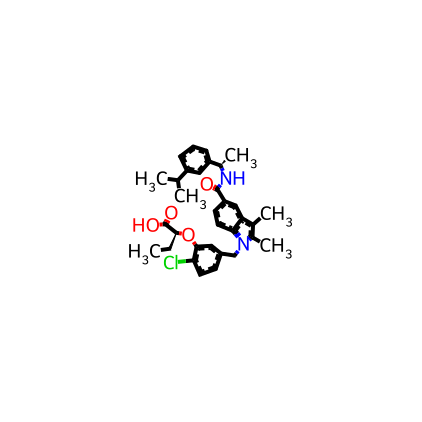 CC[C@H](Oc1cc(Cn2c(C)c(C)c3cc(C(=O)N[C@@H](C)c4cccc(C(C)C)c4)ccc32)ccc1Cl)C(=O)O